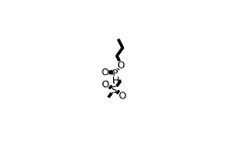 CCCO[PH](=O)CS(C)(=O)=O